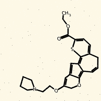 CCOC(=O)C1=CC=C2CC=CC3=C4OCC(OCCN5CCCC5)=CC4=CC3=C2S1